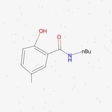 CCCCNC(=O)c1cc(C)ccc1O